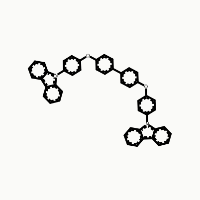 c1ccc2c(c1)c1ccccc1n2-c1ccc(Oc2ccc(-c3ccc(Oc4ccc(-n5c6ccccc6c6ccccc65)cc4)cc3)cc2)cc1